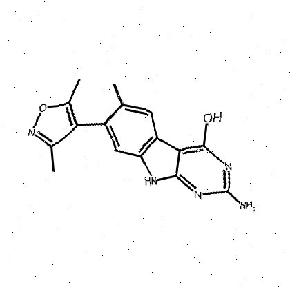 Cc1cc2c(cc1-c1c(C)noc1C)[nH]c1nc(N)nc(O)c12